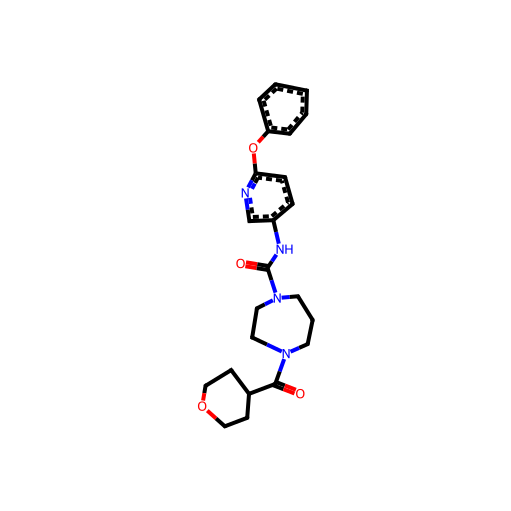 O=C(Nc1ccc(Oc2ccccc2)nc1)N1CCCN(C(=O)C2CCOCC2)CC1